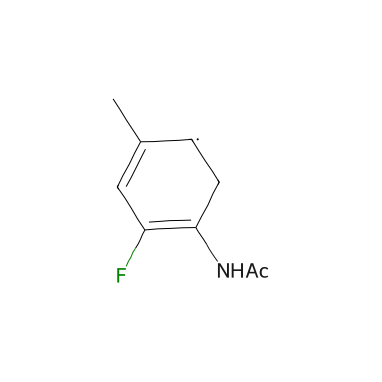 CC(=O)NC1=C(F)C=C(C)[CH]C1